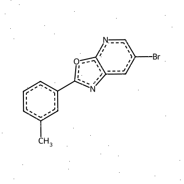 Cc1cccc(-c2nc3cc(Br)cnc3o2)c1